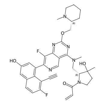 C#Cc1c(F)ccc2cc(O)cc(-c3ncc4c(N(C)C[C@H]5N(C(=O)C=C)CCC5(C)O)nc(OC[C@H]5CCCCN5C)nc4c3F)c12